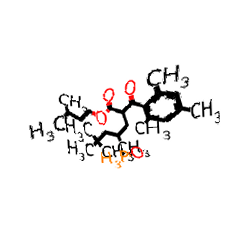 Cc1cc(C)c(C(=O)C(CC(C)CC(C)(C)C)C(=O)OCCC(C)C)c(C)c1.O=[PH3]